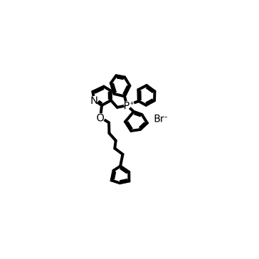 [Br-].c1ccc(CCCCCOc2ncccc2C[P+](c2ccccc2)(c2ccccc2)c2ccccc2)cc1